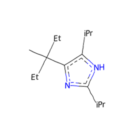 CCC(C)(CC)c1nc(C(C)C)[nH]c1C(C)C